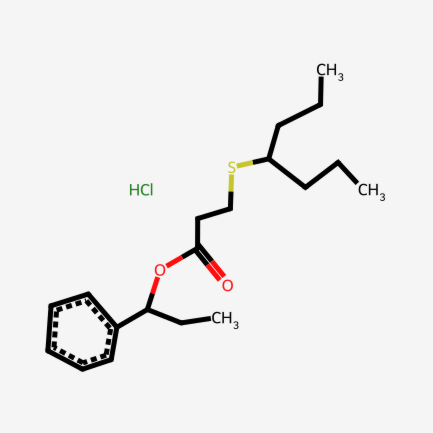 CCCC(CCC)SCCC(=O)OC(CC)c1ccccc1.Cl